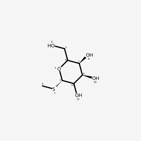 CS[C@@H]1OC(CO)[C@@H](O)[C@@H](O)C1O